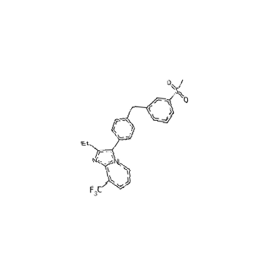 CCc1nc2c(C(F)(F)F)cccn2c1-c1ccc(Cc2cccc(S(C)(=O)=O)c2)cc1